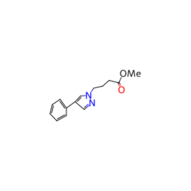 COC(=O)CCCn1cc(-c2ccccc2)cn1